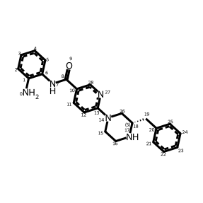 Nc1ccccc1NC(=O)c1ccc(N2CCN[C@@H](Cc3ccccc3)C2)nc1